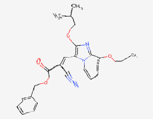 CCOc1cccn2c(C=C(C#N)C(=O)OCc3ccccc3)c(OCC(C)C)nc12